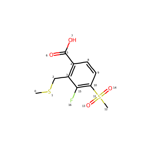 CSCc1c(C(=O)O)ccc(S(C)(=O)=O)c1F